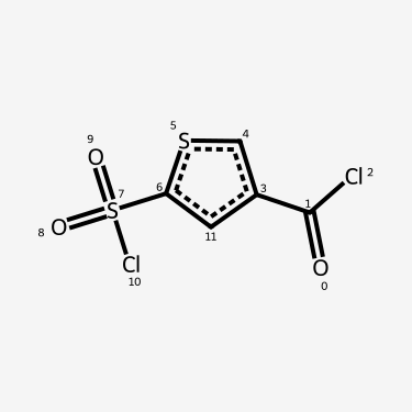 O=C(Cl)c1csc(S(=O)(=O)Cl)c1